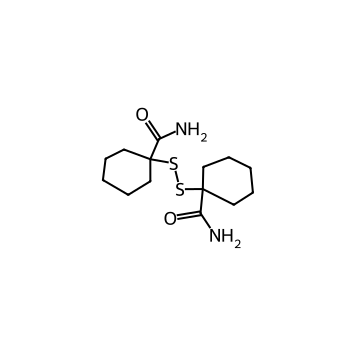 NC(=O)C1(SSC2(C(N)=O)CCCCC2)CCCCC1